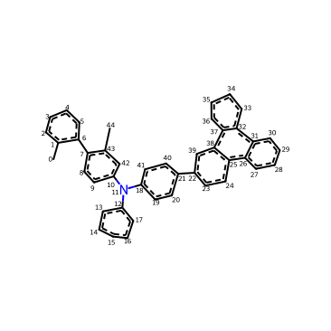 Cc1ccccc1-c1ccc(N(c2ccccc2)c2ccc(-c3ccc4c5ccccc5c5ccccc5c4c3)cc2)cc1C